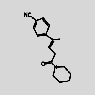 C/C(=C\CC(=O)N1CCCCC1)c1ccc(C#N)cc1